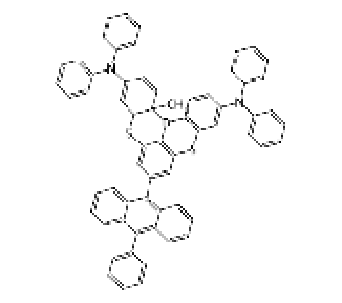 CC12C=CC(N(c3ccccc3)c3ccccc3)=CC1Sc1cc(-c3c4ccccc4c(-c4ccccc4)c4ccccc34)cc3c1B2c1ccc(N(c2ccccc2)c2ccccc2)cc1S3